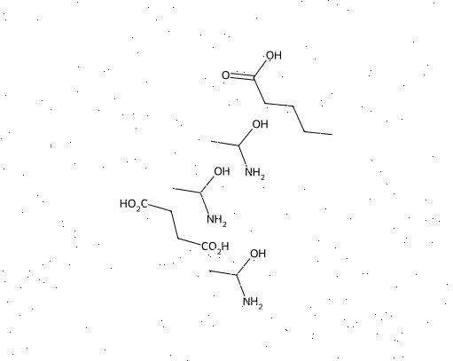 CC(N)O.CC(N)O.CC(N)O.CCCCC(=O)O.O=C(O)CCC(=O)O